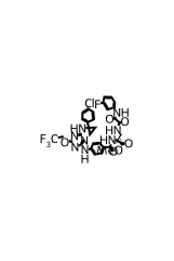 COC(=O)[C@H](CNC(=O)C(=O)Nc1cccc(F)c1)NC(=O)c1ccc(Nc2nc(NC3(c4ccc(Cl)cc4)CC3)nc(OCC(F)(F)F)n2)cc1